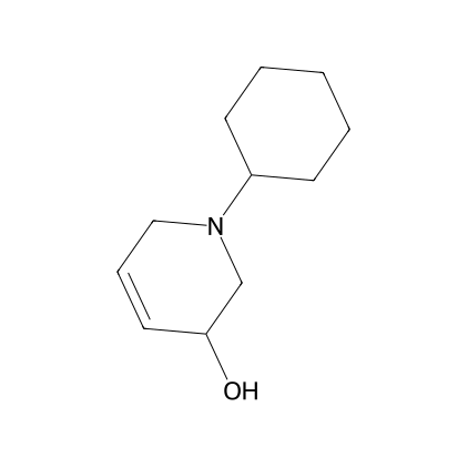 OC1C=CCN(C2CCCCC2)C1